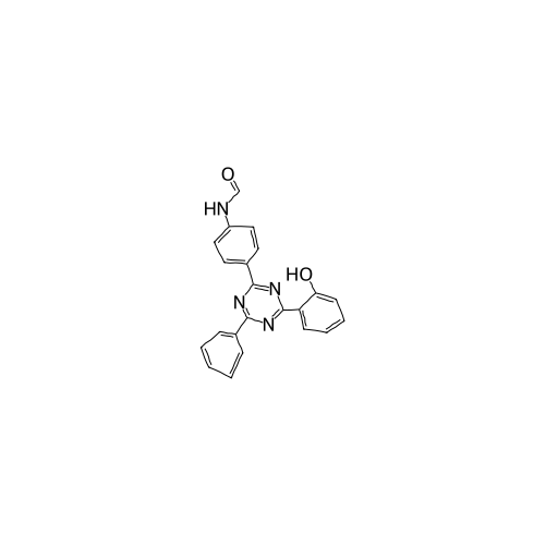 O=CNc1ccc(-c2nc(-c3ccccc3)nc(-c3ccccc3O)n2)cc1